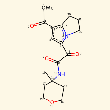 COC(=O)c1cc(C(=O)C(=O)NC2(C)CCOCC2)n2c1CCC2